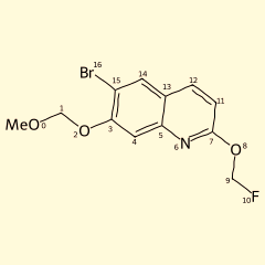 COCOc1cc2nc(OCF)ccc2cc1Br